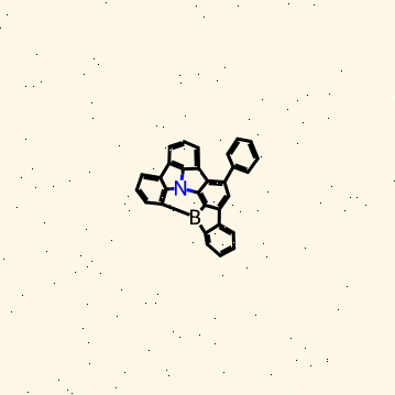 c1ccc(-c2cc3c4c5c2c2cccc6c7cccc(c7n5c62)B4c2ccccc2-3)cc1